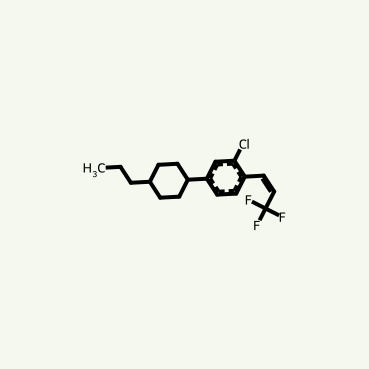 CCCC1CCC(c2ccc(/C=C\C(F)(F)F)c(Cl)c2)CC1